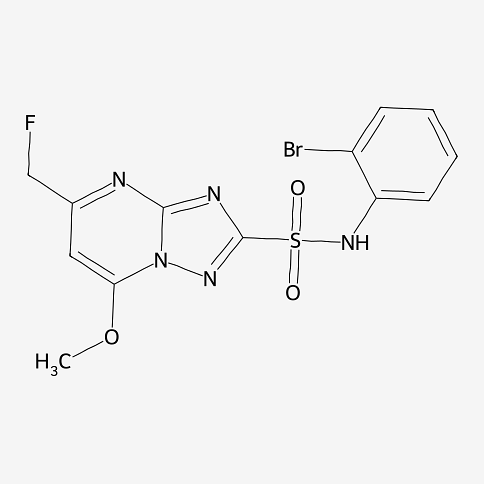 COc1cc(CF)nc2nc(S(=O)(=O)Nc3ccccc3Br)nn12